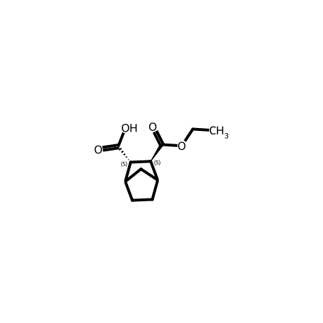 CCOC(=O)[C@H]1C2CCC(C2)[C@@H]1C(=O)O